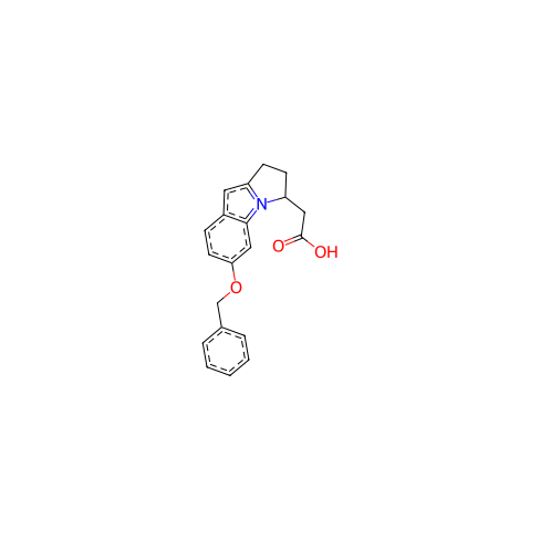 O=C(O)CC1CCc2cc3ccc(OCc4ccccc4)cc3n21